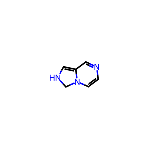 C1=CN2CNC=C2C=N1